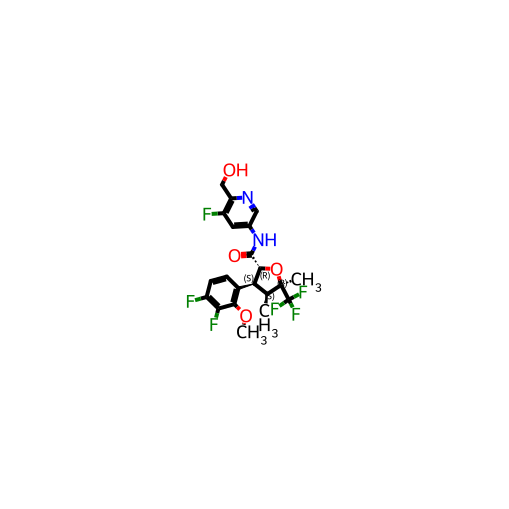 COc1c([C@H]2[C@H](C(=O)Nc3cnc(CO)c(F)c3)O[C@@](C)(C(F)(F)F)[C@H]2C)ccc(F)c1F